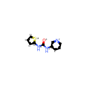 O=C(Nc1cccnc1)Nc1cccs1